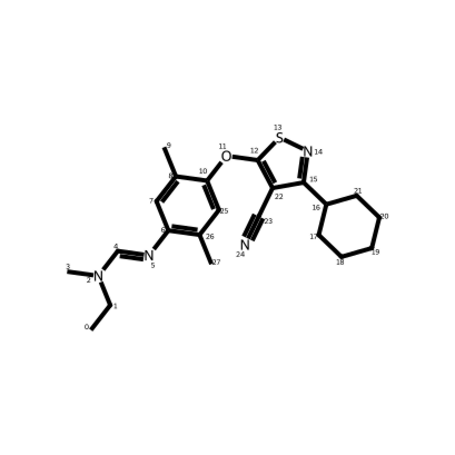 CCN(C)C=Nc1cc(C)c(Oc2snc(C3CCCCC3)c2C#N)cc1C